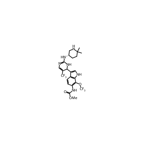 COC(=O)Nc1ccc2c(C3NC(N[C@H]4CCC(C)(C)NC4)=NC=C3C(F)(F)F)c[nH]c2c1OC(F)(F)F